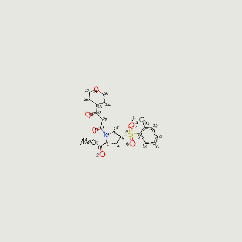 COC(=O)C1C[C@@H](S(=O)(=O)c2ccccc2C(F)(F)F)CN1C(=O)CC(=O)C1CCOCC1